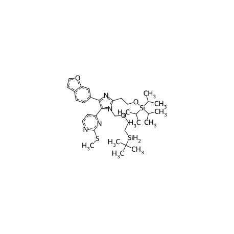 CSc1nccc(-c2c(-c3ccc4ccoc4c3)nc(CCO[Si](C(C)C)(C(C)C)C(C)C)n2COCC[SiH2]C(C)(C)C)n1